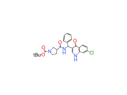 CC(C)(C)OC(=O)N1CCC(C(=O)NC(c2ccccc2)c2c[nH]c3cc(Cl)ccc3c2=O)C1